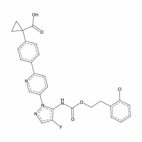 O=C(Nc1c(F)cnn1-c1ccc(-c2ccc(C3(C(=O)O)CC3)cc2)nc1)OCCc1ccccc1Cl